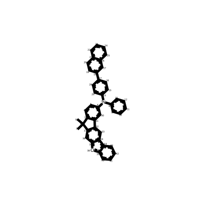 CC1(C)c2ccc(N(c3ccccc3)c3ccc(-c4ccc5ccccc5c4)cc3)cc2-c2cc3c(cc21)oc1ccccc13